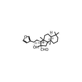 CC1(C)CCC[C@]2(C)[C@H]3C[C@](C)(C=O)[C@@H](C[C@H](O)c4ccoc4)[C@]3(C)CC[C@@H]12